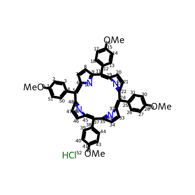 COc1ccc(C2=C3C=CC(=N3)C(c3ccc(OC)cc3)=C3C=CC(=N3)C(c3ccc(OC)cc3)=C3C=CC(=N3)C(c3ccc(OC)cc3)=C3C=CC2=N3)cc1.Cl